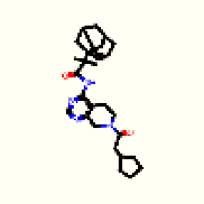 CC(C)(C(=O)Nc1ncnc2c1CCN(C(=O)CC1CCCC1)C2)C12CC3CC(CC(C3)C1)C2